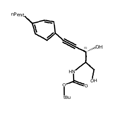 CCCCCc1ccc(C#C[C@H](O)C(CO)NC(=O)OC(C)(C)C)cc1